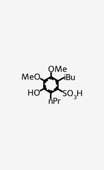 CCCc1c(O)c(OC)c(OC)c(C(C)CC)c1S(=O)(=O)O